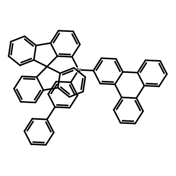 c1ccc(-c2ccc(N(c3ccc4c5ccccc5c5ccccc5c4c3)c3cccc4c3C3(c5ccccc5-c5ccccc53)c3ccccc3-4)cc2)cc1